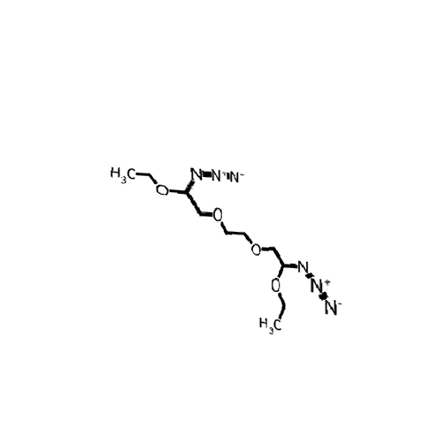 CCOC(COCCOCC(N=[N+]=[N-])OCC)N=[N+]=[N-]